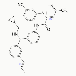 C/C=C/c1cccc(C(NCC2CC2)c2cccc(NC(=O)/C(=C/C(=N)C(F)(F)F)Nc3cccc(C#N)c3)c2)c1